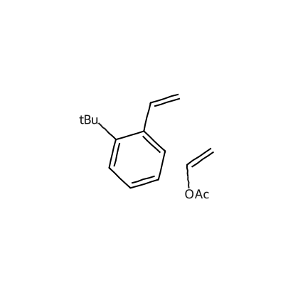 C=COC(C)=O.C=Cc1ccccc1C(C)(C)C